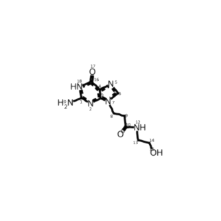 Nc1nc2c(ncn2CCC(=O)NCCO)c(=O)[nH]1